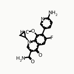 COc1c(-c2ccc(N)nc2)c(F)cc2c(=O)c(C(N)=O)cn(C3CC3)c12